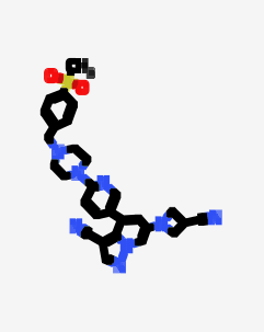 CS(=O)(=O)c1ccc(CN2CCN(c3ccc(-c4cc(N5CC(C#N)C5)cn5ncc(C#N)c45)cn3)CC2)cc1